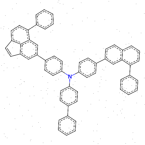 C1=Cc2cc(-c3ccc(N(c4ccc(-c5ccccc5)cc4)c4ccc(-c5ccc6cccc(-c7ccccc7)c6c5)cc4)cc3)cc3c(-c4ccccc4)ccc1c23